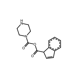 O=C(OC(=O)N1CCNCC1)C1C=Cc2ccccc21